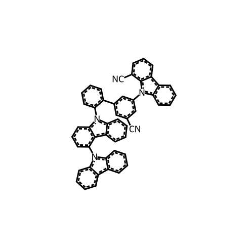 N#Cc1cc(-c2ccccc2-n2c3ccccc3c3c(-n4c5ccccc5c5ccccc54)cccc32)cc(-n2c3ccccc3c3cccc(C#N)c32)c1